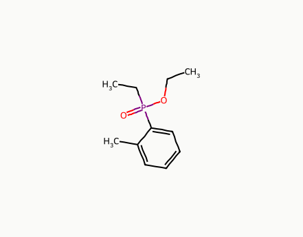 CCOP(=O)(CC)c1ccccc1C